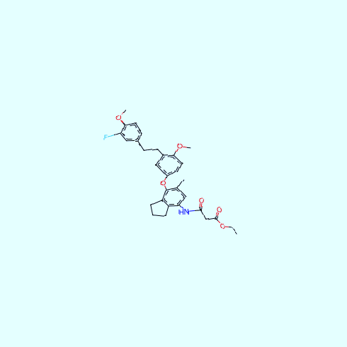 CCOC(=O)CC(=O)Nc1cc(C)c(Oc2ccc(OC)c(CCc3ccc(OC)c(F)c3)c2)c2c1CCC2